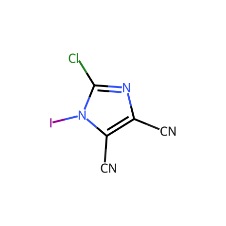 N#Cc1nc(Cl)n(I)c1C#N